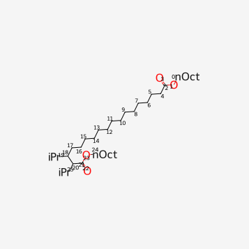 CCCCCCCCOC(=O)CCCCCCCCCCCCCCC(C(C)C)C(C(=O)OCCCCCCCC)C(C)C